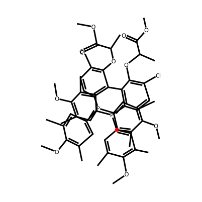 COC(=O)C(C)Oc1c(Cl)ccc(P(c2cc(C)c(OC)c(C)c2)c2cc(C)c(OC)c(C)c2)c1-c1c(P(c2cc(C)c(OC)c(C)c2)c2cc(C)c(OC)c(C)c2)ccc(Cl)c1OC(C)C(=O)OC